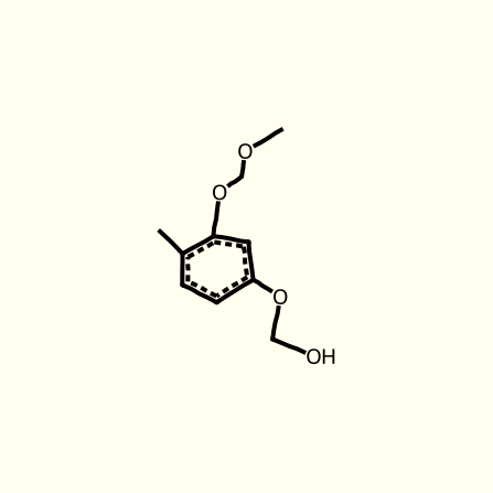 COCOc1cc(OCO)ccc1C